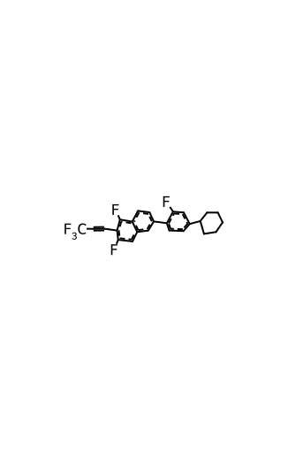 Fc1cc(C2CCCCC2)ccc1-c1ccc2c(F)c(C#CC(F)(F)F)c(F)cc2c1